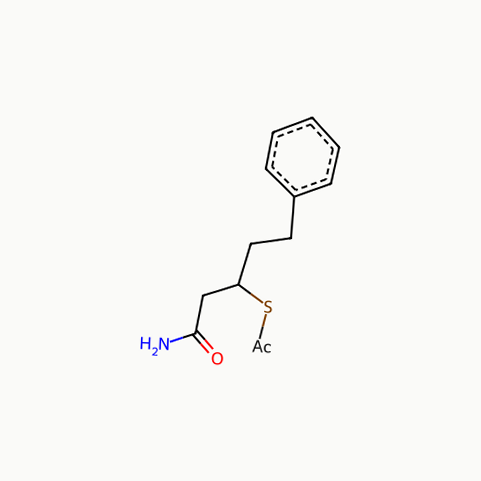 CC(=O)SC(CCc1ccccc1)CC(N)=O